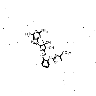 CC(/N=[P+](\[O-])Oc1ccccc1OC[C@H]1O[C@@H](n2cnc3c(N)nc(N)nc32)[C@](C)(O)[C@@H]1O)C(=O)O